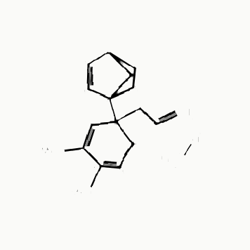 C=CCC1(C23C=CC(CC2)C3)C=C(OC)C(OC)=CC1.CC(=O)O